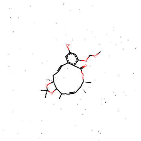 COCOc1cc(O)cc2c1C(=O)O[C@@H](C)[C@H](C)/C=C\C(C)C1OC(C)(C)O[C@H]1C/C=C/2